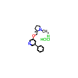 CN1CCC[C@@H]1COc1cncc(-c2ccccc2)c1.Cl.Cl